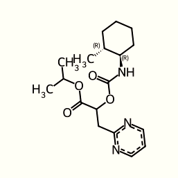 CC(C)OC(=O)C(Cc1ncccn1)OC(=O)N[C@@H]1CCCC[C@H]1C